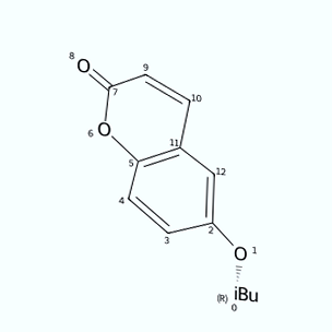 CC[C@@H](C)Oc1ccc2oc(=O)ccc2c1